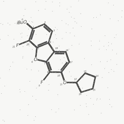 CC(C)COc1ccc2c(oc3c(F)c(OC4CCCC4)ccc32)c1F